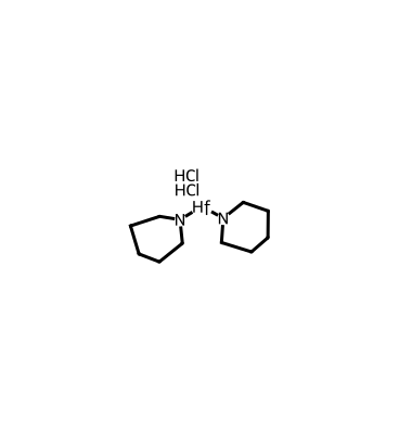 C1CC[N]([Hf][N]2CCCCC2)CC1.Cl.Cl